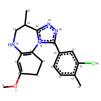 COC1=CC2=C(CC1)n1c(-c3ccc(C)c(Cl)c3)nnc1C(C)CN2